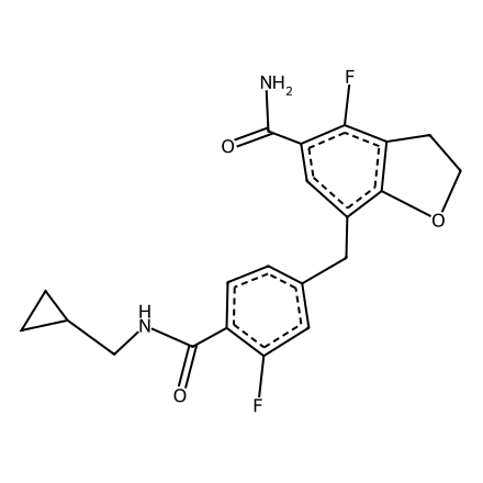 NC(=O)c1cc(Cc2ccc(C(=O)NCC3CC3)c(F)c2)c2c(c1F)CCO2